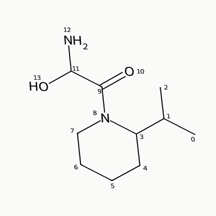 CC(C)C1CCCCN1C(=O)C(N)O